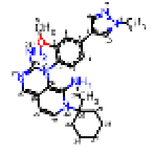 COc1cc(-c2cnn(C)c2)ccc1N1C(N)=NC=C2C=CN(C3(C)CCCCC3)C(N)=C21